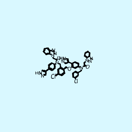 O=C(Cn1nnc2ccccc21)N(Cc1cccc(Cl)c1)c1ccc(-c2cn[nH]c2)c(OCc2ccc(Cl)cc2CN(C(=O)Cn2nnc3ccccc32)c2ccc(-c3cn[nH]c3)cc2)c1